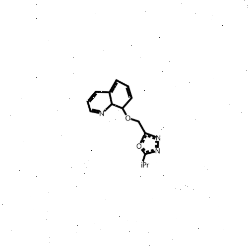 CC(C)c1nnc(COC2C=CC=C3C=CC=NC32)o1